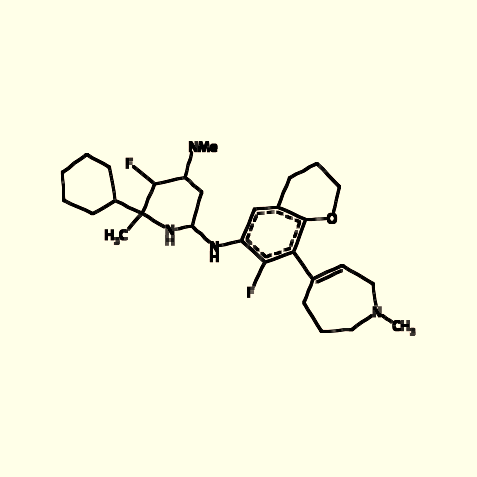 CNC1CC(Nc2cc3c(c(C4=CCN(C)CCC4)c2F)OCCC3)NC(C)(C2CCCCC2)C1F